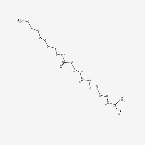 CCCCCCCCCOC(=O)CCCOCCOCCOC(C)C